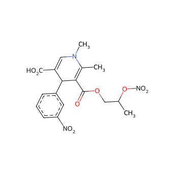 CC1=C(C(=O)OCC(C)O[N+](=O)[O-])C(c2cccc([N+](=O)[O-])c2)C(C(=O)O)=CN1C